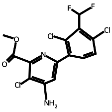 COC(=O)c1nc(-c2ccc(Cl)c(C(F)F)c2Cl)cc(N)c1Cl